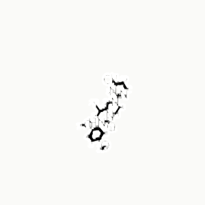 COc1ccc(OC)c(NC(=O)N2CCN(c3nccc(Cl)n3)CC2C(C)C)c1